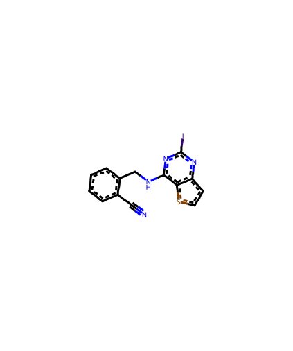 N#Cc1ccccc1CNc1nc(I)nc2ccsc12